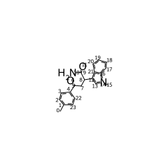 Cc1ccc(C(=O)CC(C(N)=O)c2cn(C)c3ccccc23)cc1